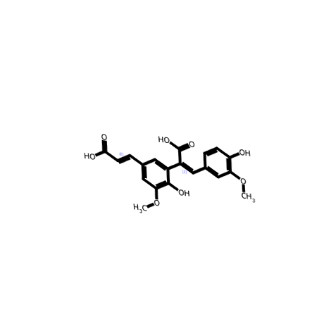 COc1cc(/C=C(\C(=O)O)c2cc(/C=C/C(=O)O)cc(OC)c2O)ccc1O